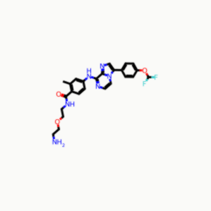 Cc1cc(Nc2nccn3c(-c4ccc(OC(F)F)cc4)cnc23)ccc1C(=O)NCCOCCN